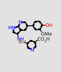 COc1cc(-c2cnc3[nH]cc(N)c3c2)ccc1O.O=C(O)c1cncc(Br)c1